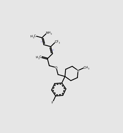 C=C(/C=C(\C=C(\C)N)C(F)(F)F)COCC1(c2ccc(F)cc2)CCN(C)CC1